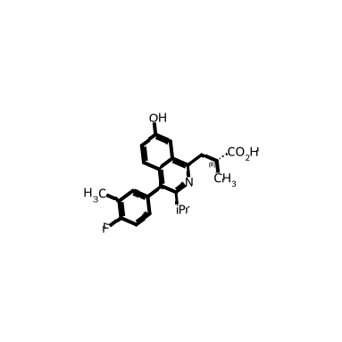 Cc1cc(-c2c(C(C)C)nc(C[C@@H](C)C(=O)O)c3cc(O)ccc23)ccc1F